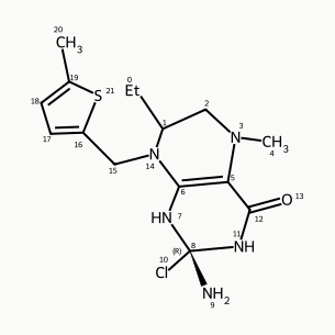 CCC1CN(C)C2=C(N[C@@](N)(Cl)NC2=O)N1Cc1ccc(C)s1